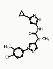 Cc1cc(-n2cc([C@@H](C)C(=O)Nc3cc(C4CC4)n[nH]3)cn2)ccc1Cl